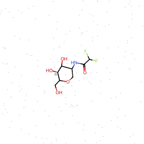 O=C(NC1COC(CO)[C@@H](O)C1O)C(F)F